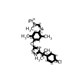 Cc1cc(Oc2nc(C(C)(C)c3ccc(Cl)cc3)ns2)c(C)cc1/N=C\N(C)C(C)C